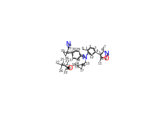 Cc1ccc(-c2c(C)noc2C)cc1N(C[C@H]1C[C@@H]1CO[Si](C)(C)C(C)(C)C)c1ccc(C2(C#N)CC2)cc1